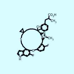 CC(Cc1cccc(C2(C)CCCC3(CC3)CSCCc3c(c(F)cc4[nH]ccc34)Oc3ccc(F)c(c3)-c3nc2nn3C)c1)C(=O)O